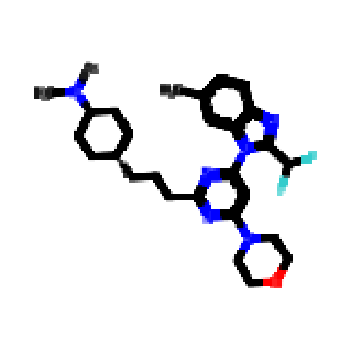 CC(=O)N(C)[C@H]1CC[C@H](CCCc2nc(N3CCOCC3)cc(-n3c(C(F)F)nc4ccc(C)cc43)n2)CC1